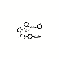 COc1ccc([S@+]([O-])CC(=O)[C@@H]2CCCN2C(=O)[C@@H]2CCCN2C(=O)OCc2ccccc2)cc1